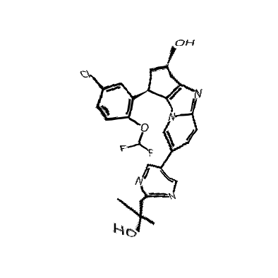 CC(C)(O)c1ncc(-c2ccc3nc4c(n3c2)[C@@H](c2cc(Cl)ccc2OC(F)F)C[C@H]4O)cn1